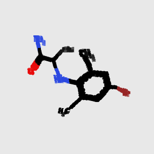 Cc1cc(Br)cc(C)c1NC(C(N)=O)C(C)(C)C